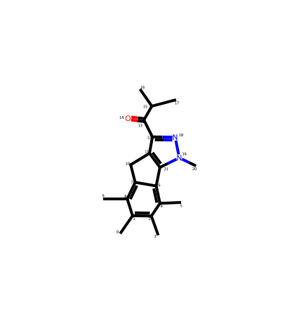 Cc1c(C)c(C)c2c(c1C)Cc1c(C(=O)C(C)C)nn(C)c1-2